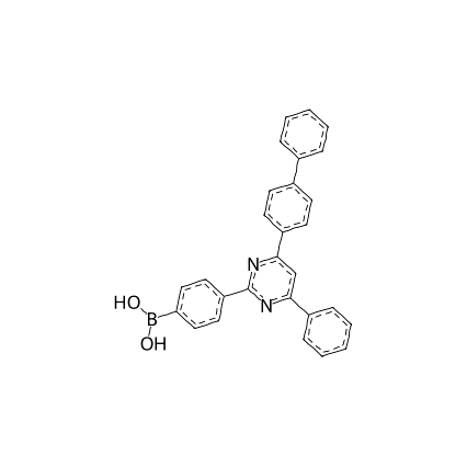 OB(O)c1ccc(-c2nc(-c3ccccc3)cc(-c3ccc(-c4ccccc4)cc3)n2)cc1